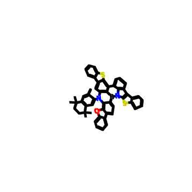 Cc1cc2c(cc1N1c3cc4c(sc5ccccc54)c4c3B(c3ccc5c(oc6ccccc65)c31)n1c3sc5ccccc5c3c3cccc-4c31)C(C)(C)CCC2(C)C